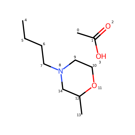 CC(=O)O.CCCCN1CCOC(C)C1